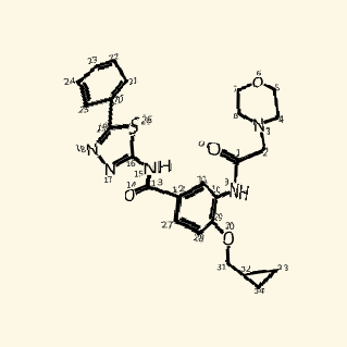 O=C(CN1CCOCC1)Nc1cc(C(=O)Nc2nnc(-c3ccccc3)s2)ccc1OCC1CC1